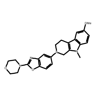 COc1ccc2c(c1)c1c(n2C)CN(c2ccc3oc(N4CCOCC4)nc3c2)CC1